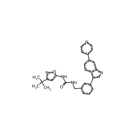 CC(C)(C)c1cc(NC(=O)NCc2cccc(-c3cnc4cc(-c5ccncc5)ccn34)c2)on1